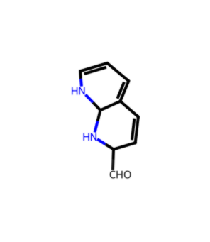 O=CC1C=CC2=CC=CNC2N1